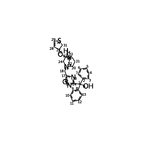 OC(c1ccccc1)(c1ccccc1)c1noc(C[N+]23CCC(CC2)[C@@H](OC2C=CSC2)C3)n1